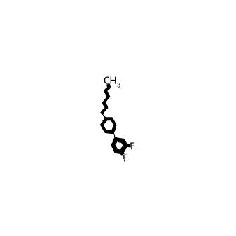 CCCCCCC[C@H]1CC[C@H](c2ccc(F)c(F)c2)CC1